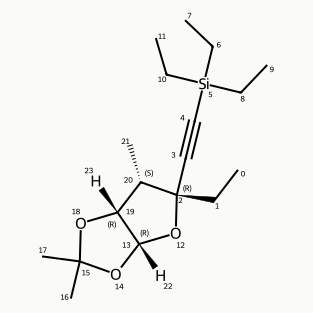 CC[C@@]1(C#C[Si](CC)(CC)CC)O[C@@H]2OC(C)(C)O[C@@H]2[C@@H]1C